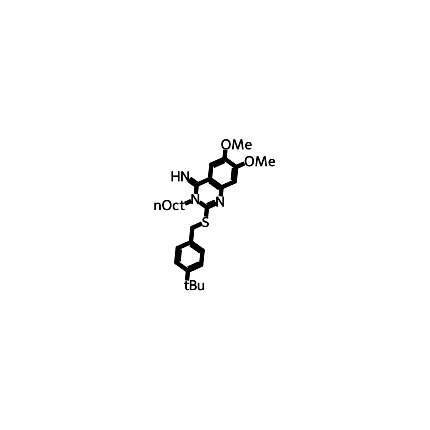 CCCCCCCCn1c(SCc2ccc(C(C)(C)C)cc2)nc2cc(OC)c(OC)cc2c1=N